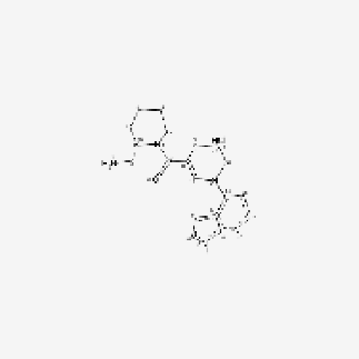 Cl.NC[C@@H]1CCCCN1C(=O)C1=CN(c2ccnc3[nH]ccc23)CCS1